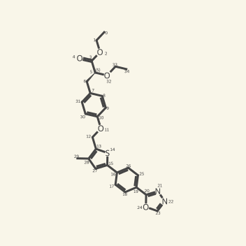 CCOC(=O)[C@H](Cc1ccc(OCc2sc(-c3ccc(-c4nnco4)cc3)cc2C)cc1)OCC